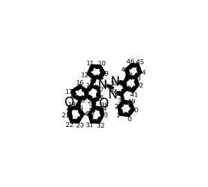 c1ccc(-c2nc(-n3c4ccccc4c4c5ccc6oc7ccccc7c6c5c5c6ccccc6oc5c43)nc3c2ccc2ccccc23)cc1